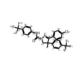 CC1(c2ccc(C(F)(F)F)cc2)CN(C(=O)Nc2ccc(C(F)(F)F)cc2)N=C1c1ccc(Cl)cc1